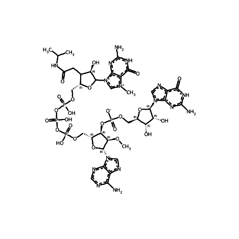 CO[C@@H]1[C@H](OP(=O)([O-])OC[C@H]2O[C@@H](n3cnc4c(=O)[nH]c(N)nc43)[C@H](O)[C@@H]2O)[C@@H](COP(=O)(O)OP(=O)(O)OP(=O)(O)OC[C@H]2OC(n3c[n+](C)c4c(=O)[nH]c(N)nc43)[C@H](O)C2CC(=O)NC(C)C)O[C@H]1n1cnc2c(N)ncnc21